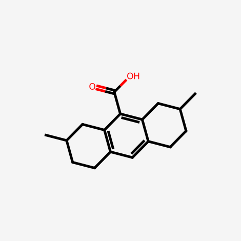 CC1CCc2cc3c(c(C(=O)O)c2C1)CC(C)CC3